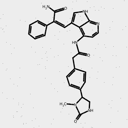 CN1C(=O)NCC1c1ccc(CC(=O)Nc2ccnc3[nH]cc(C=C(C(N)=O)c4ccccc4)c23)cc1